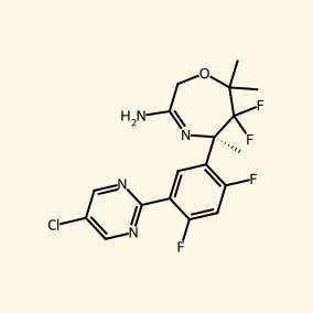 CC1(C)OCC(N)=N[C@](C)(c2cc(-c3ncc(Cl)cn3)c(F)cc2F)C1(F)F